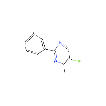 Cc1nc(-c2c[c]ccc2)ncc1F